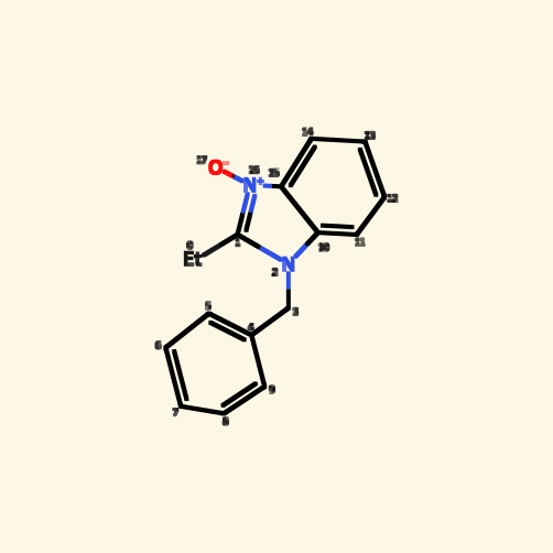 CCc1n(Cc2ccccc2)c2ccccc2[n+]1[O-]